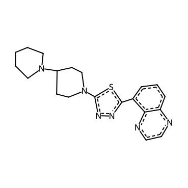 c1cc(-c2nnc(N3CCC(N4CCCCC4)CC3)s2)c2nccnc2c1